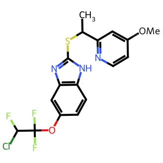 COc1ccnc(C(C)Sc2nc3cc(OC(F)(F)C(F)Cl)ccc3[nH]2)c1